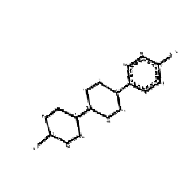 Fc1ccc(C2CCC(C3CCC(I)CC3)CC2)cc1